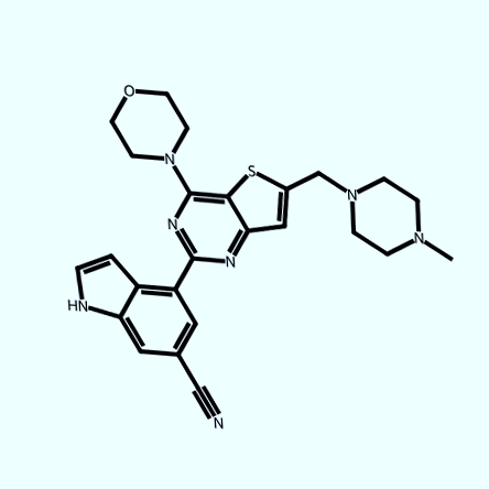 CN1CCN(Cc2cc3nc(-c4cc(C#N)cc5[nH]ccc45)nc(N4CCOCC4)c3s2)CC1